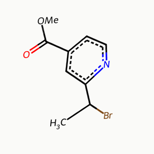 COC(=O)c1ccnc(C(C)Br)c1